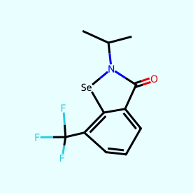 CC(C)n1[se]c2c(C(F)(F)F)cccc2c1=O